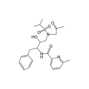 CC(=O)CN(CC(O)C(Cc1ccccc1)NC(=O)c1cccc(C)n1)S(=O)(=O)C(C)C